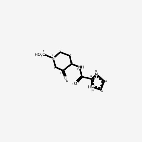 O=C(NC1CCN(C(=O)O)CC1=O)c1ncc[nH]1